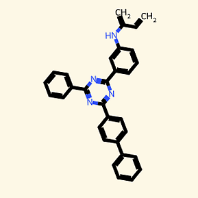 C=CC(=C)Nc1cccc(-c2nc(-c3ccccc3)nc(-c3ccc(-c4ccccc4)cc3)n2)c1